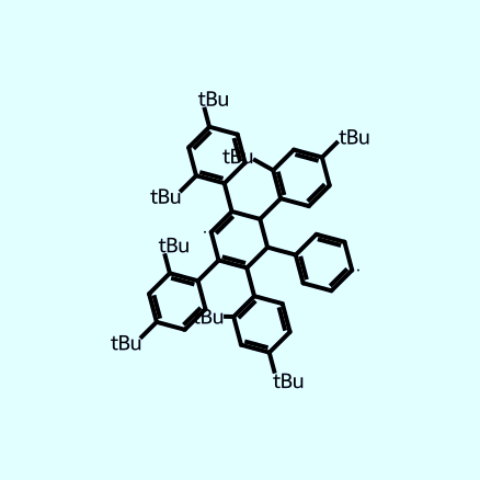 CC(C)(C)c1ccc(C2=[C]C(c3ccc(C(C)(C)C)cc3C(C)(C)C)=C(c3ccc(C(C)(C)C)cc3C(C)(C)C)C(c3cc[c]cc3)C2c2ccc(C(C)(C)C)cc2C(C)(C)C)c(C(C)(C)C)c1